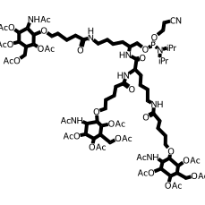 CC(=O)NC1C(OCCCCC(=O)NCCCCC(COP(OCCC#N)N(C(C)C)C(C)C)NC(=O)C(CCCCNC(=O)CCCCOC2C(NC(C)=O)C(OC(C)=O)C(OC(C)=O)C(COC(C)=O)C2OC(C)=O)NC(=O)CCCCOC2C(NC(C)=O)C(OC(C)=O)C(OC(C)=O)C(COC(C)=O)C2OC(C)=O)C(OC(C)=O)C(COC(C)=O)C(OC(C)=O)C1OC(C)=O